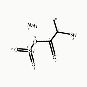 CC(S)C(=O)O[SH](=O)=O.[NaH]